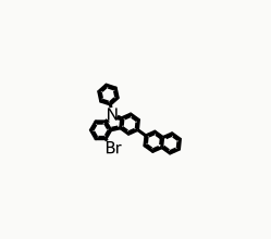 Brc1cccc2c1c1cc(-c3ccc4ccccc4c3)ccc1n2-c1ccccc1